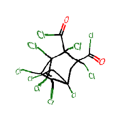 O=C(Cl)C1(Cl)C2(Cl)C(Cl)=C(Cl)C(Cl)(C2(Cl)Cl)C1(Cl)C(=O)Cl